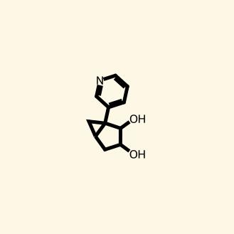 OC1CC2CC2(c2cccnc2)C1O